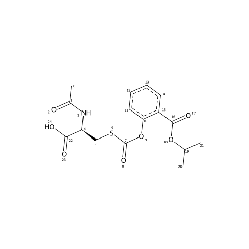 CC(=O)N[C@@H](CSC(=O)Oc1ccccc1C(=O)OC(C)C)C(=O)O